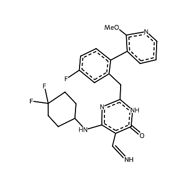 COc1ncccc1-c1ccc(F)cc1Cc1nc(NC2CCC(F)(F)CC2)c(C=N)c(=O)[nH]1